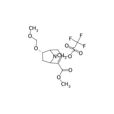 COCO[C@H]1CC2C(C(=O)OC)=C(OS(=O)(=O)C(F)(F)F)CC1N2C